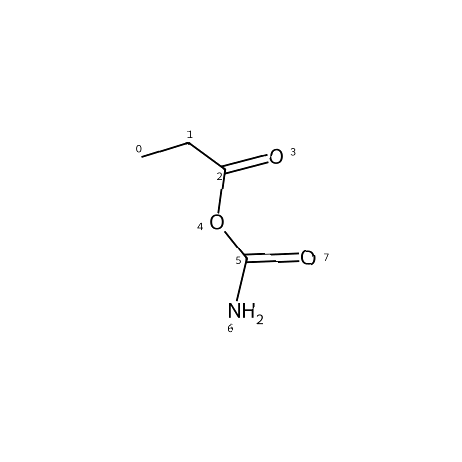 CCC(=O)OC(N)=O